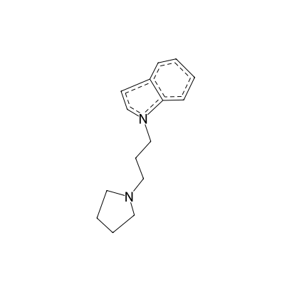 c1ccc2c(c1)ccn2CCCN1CCCC1